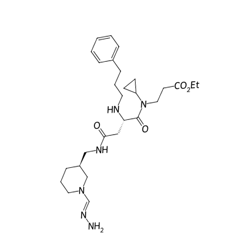 CCOC(=O)CCN(C(=O)[C@H](CC(=O)NC[C@@H]1CCCN(C=NN)C1)NCCCc1ccccc1)C1CC1